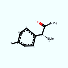 CNC(=O)[C@H](NC)c1ccc(C)cc1